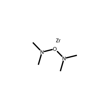 CN(C)ON(C)C.[Zr]